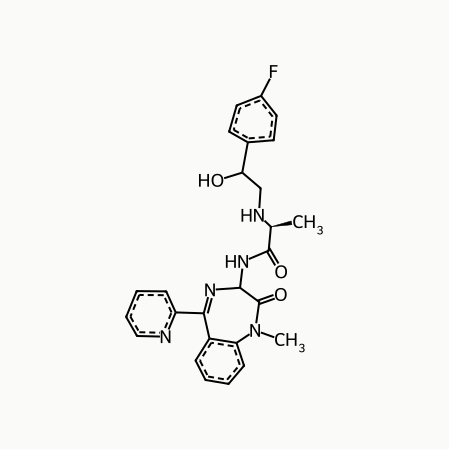 C[C@H](NCC(O)c1ccc(F)cc1)C(=O)NC1N=C(c2ccccn2)c2ccccc2N(C)C1=O